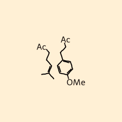 CC(=O)CCC=C(C)C.COc1ccc(CCC(C)=O)cc1